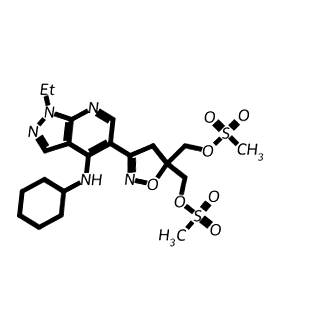 CCn1ncc2c(NC3CCCCC3)c(C3=NOC(COS(C)(=O)=O)(COS(C)(=O)=O)C3)cnc21